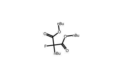 CCCCOC(=O)C(F)(CCCC)C(=O)OCCCC